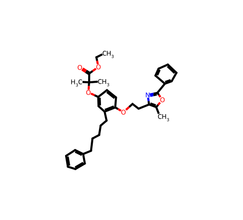 CCOC(=O)C(C)(C)Oc1ccc(OCCc2nc(-c3ccccc3)oc2C)c(CCCCCc2ccccc2)c1